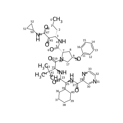 CCC[C@H](NC(=O)[C@@H]1C[C@@H](Oc2ccccc2)CN1C(=O)[C@@H](NC(=O)[C@@H](NC(=O)c1cnccn1)C1CCCCC1)C(C)(C)C)C(=O)C(=O)NC1CC1